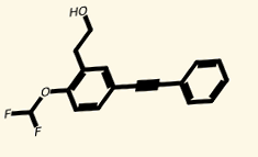 OCCc1cc(C#Cc2ccccc2)ccc1OC(F)F